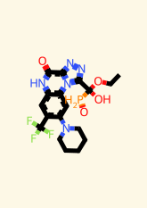 CCOC(O)([PH2]=O)c1nnc2c(=O)[nH]c3cc(C(F)(F)F)c(N4CCCCC4)cc3n12